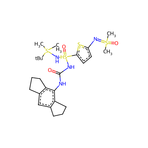 CC(C)(C)S(C)(C)N[SH](=O)(NC(=O)Nc1c2c(cc3c1CCC3)CCC2)c1ccc(N=S(C)(C)=O)s1